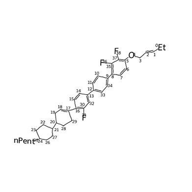 CC/C=C/COc1ccc(-c2ccc(-c3ccc(C4=CCC(C5CCC(CCCCC)CC5)CC4)c(F)c3)cc2)c(F)c1F